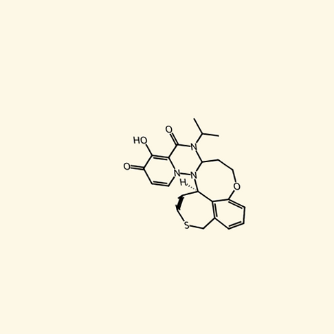 CC(C)N1C(=O)c2c(O)c(=O)ccn2N2C1CCOc1cccc3c1[C@H]2c1ccccc1SC3